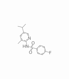 Cc1cc(C(C)C)cnc1NS(=O)(=O)c1ccc(F)cc1